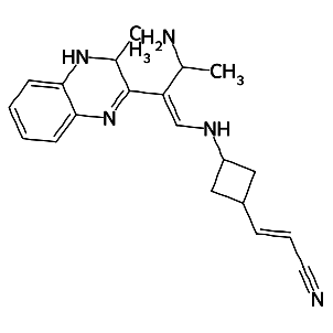 CC1Nc2ccccc2N=C1/C(=C/NC1CC(/C=C/C#N)C1)C(C)N